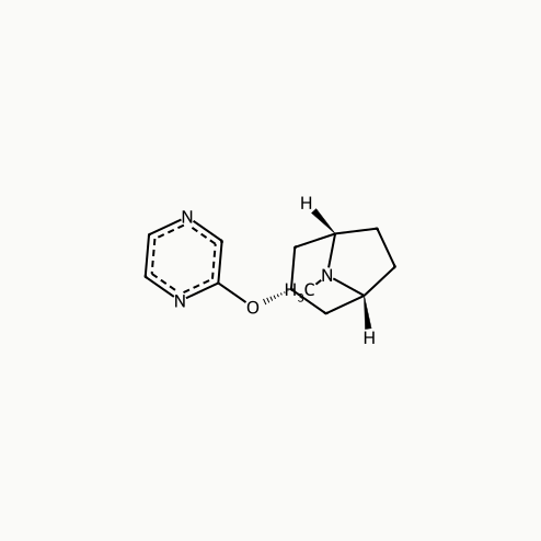 CN1[C@@H]2CC[C@H]1C[C@@H](Oc1cnccn1)C2